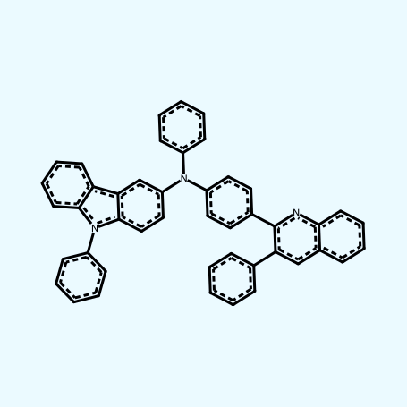 c1ccc(-c2cc3ccccc3nc2-c2ccc(N(c3ccccc3)c3ccc4c(c3)c3ccccc3n4-c3ccccc3)cc2)cc1